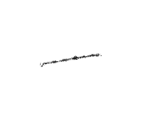 CCCCCCCCCCCCCCCCCCCCCCCCCCCCCCCCCCCCCC(=O)OCCCCCCCCCCCCCCCCCCCCCCCC